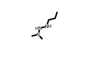 CCCNNN(C)C